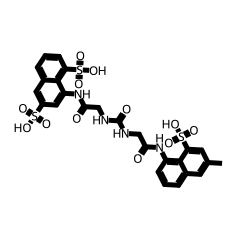 Cc1cc(S(=O)(=O)O)c2c(NC(=O)CNC(=O)NCC(=O)Nc3cc(S(=O)(=O)O)cc4cccc(S(=O)(=O)O)c34)cccc2c1